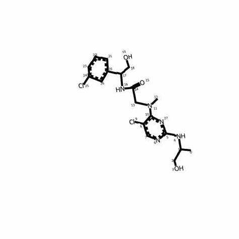 CC(CO)Nc1ncc(Cl)c(N(C)CC(=O)NC(CO)c2cccc(Cl)c2)n1